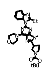 CCc1nc2ccccc2n1-c1nc(N2CCOCC2)c2nc(C3CCN(C(=O)OC(C)(C)C)C3)n(C)c2n1